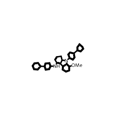 COc1cccc2c1N(c1ccc(-c3ccccc3)cc1)C1CC=CC(Nc3ccc(-c4ccccc4)cc3)=C21